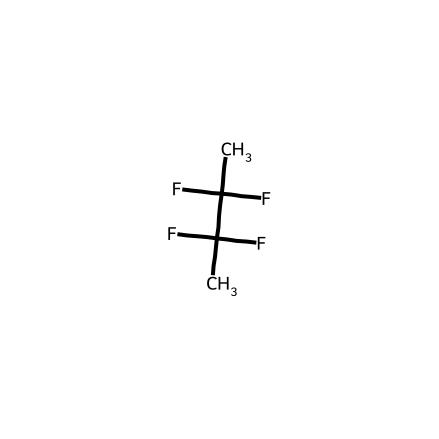 CC(F)(F)C(C)(F)F